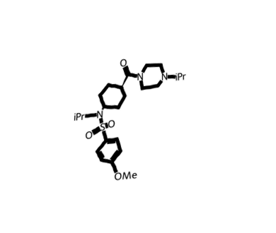 COc1ccc(S(=O)(=O)N(C(C)C)[C@H]2CC[C@H](C(=O)N3CCN(C(C)C)CC3)CC2)cc1